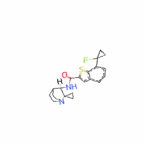 O=C(N[C@@H]1C2CCN(CC2)C12CC2)c1cc2cccc(C3(F)CC3)c2s1